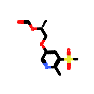 Cc1ncc(OC[C@@H](C)OC=O)cc1S(C)(=O)=O